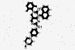 Cc1cccc(C)c1N1Cc2cnc(Nc3ccc(N4CCN(C)CC4)cc3)nc2N(c2cccc3ccccc23)C1=O